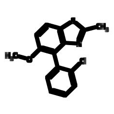 COc1ccc2sc(C)nc2c1-c1ccccc1Cl